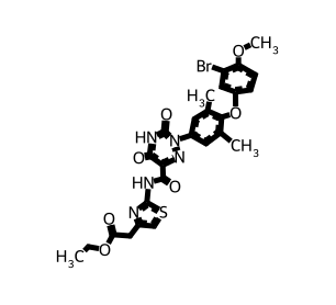 CCOC(=O)Cc1csc(NC(=O)c2nn(-c3cc(C)c(Oc4ccc(OC)c(Br)c4)c(C)c3)c(=O)[nH]c2=O)n1